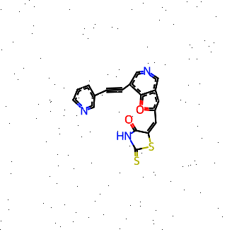 O=C1NC(=S)SC1=Cc1cc2cncc(C#Cc3cccnc3)c2o1